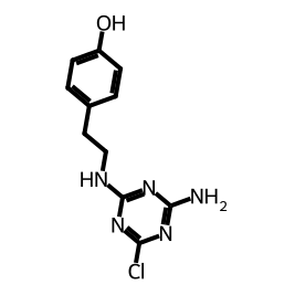 Nc1nc(Cl)nc(NCCc2ccc(O)cc2)n1